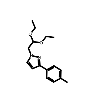 CCOC(Cn1ccc(-c2ccc(C)cc2)n1)OCC